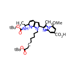 COc1cc(C(=O)O)cc2nc(-c3cc4ccc(C(C)NC(=O)OC(C)(C)C)nc4n3CCCCCCCC(=O)OC(C)(C)C)c(C)n12